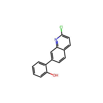 Oc1ccccc1-c1ccc2ccc(Cl)nc2c1